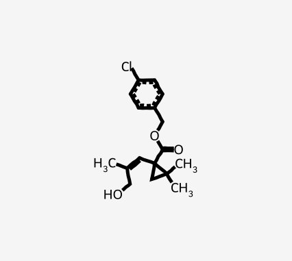 CC(=CC1(C(=O)OCc2ccc(Cl)cc2)CC1(C)C)CO